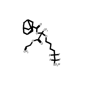 C=CCOC(=O)C(OCCCCC(F)(F)C(F)(F)S(=O)(=O)O)(OC(=O)C12CC3CC(CC(C3)C1)C2)C(F)(F)F